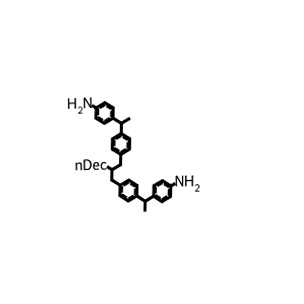 CCCCCCCCCCC(Cc1ccc(C(C)c2ccc(N)cc2)cc1)Cc1ccc(C(C)c2ccc(N)cc2)cc1